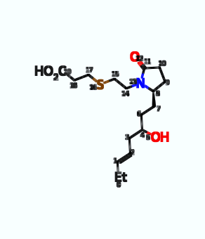 CC/C=C/CC(O)CC[C@@H]1CCC(=O)N1CCSCCC(=O)O